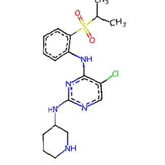 CC(C)S(=O)(=O)c1ccccc1Nc1nc(NC2CCCNC2)ncc1Cl